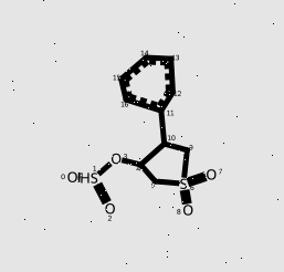 O=[SH](=O)OC1CS(=O)(=O)CC1c1ccccc1